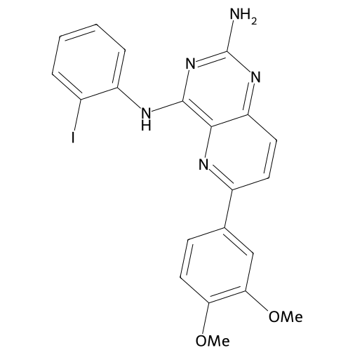 COc1ccc(-c2ccc3nc(N)nc(Nc4ccccc4I)c3n2)cc1OC